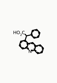 O=C(O)C(c1ccccc1)c1cccc2nc3ccccc3cc12